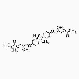 C=C(C)C(=O)OCC(O)COc1ccc(C(C)(C)c2ccc(OCC(O)COC(C)=O)cc2)cc1